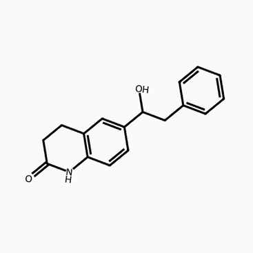 O=C1CCc2cc(C(O)Cc3ccccc3)ccc2N1